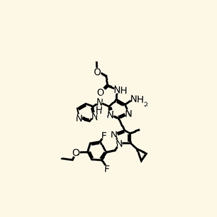 CCOc1cc(F)c(Cn2nc(-c3nc(N)c(NC(=O)COC)c(Nc4ccncn4)n3)c(C)c2C2CC2)c(F)c1